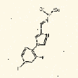 CC(C)(C)[S@+]([O-])N=Cc1cn(-c2ccc(F)cc2F)cn1